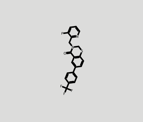 O=C1c2cc(-c3ccc(C(F)(F)F)cc3)ccc2SCN1Cc1ncccc1F